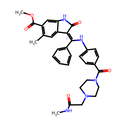 CNC(=O)CN1CCN(C(=O)c2ccc(N/C(=C3\C(=O)Nc4cc(C(=O)OC)c(C)cc43)c3ccccc3)cc2)CC1